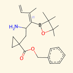 C=C/C(C)=C(/B1OC(C)(C)C1(C)C)C(N)CC1(C(=O)OCc2ccccc2)CC1